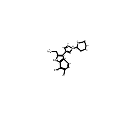 OCc1[nH]c2c(Cl)c(Cl)ccc2c1-c1cnn(C2CCCCO2)c1